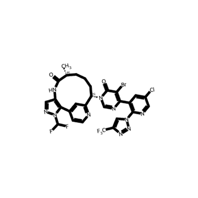 C[C@@H]1CCC[C@H](n2cnc(-c3cc(Cl)cnc3-n3cc(C(F)(F)F)nn3)c(Br)c2=O)c2cc(ccn2)-c2c(cnn2C(F)F)NC1=O